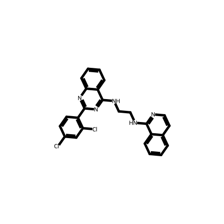 Clc1ccc(-c2nc(NCCNc3nccc4ccccc34)c3ccccc3n2)c(Cl)c1